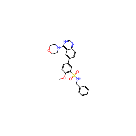 COc1ccc(-c2ccc3ncnc(N4CCOCC4)c3c2)cc1S(=O)(=O)NCc1ccccc1